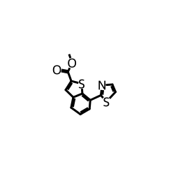 COC(=O)c1cc2cccc(-c3nccs3)c2s1